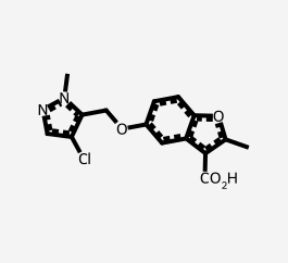 Cc1oc2ccc(OCc3c(Cl)cnn3C)cc2c1C(=O)O